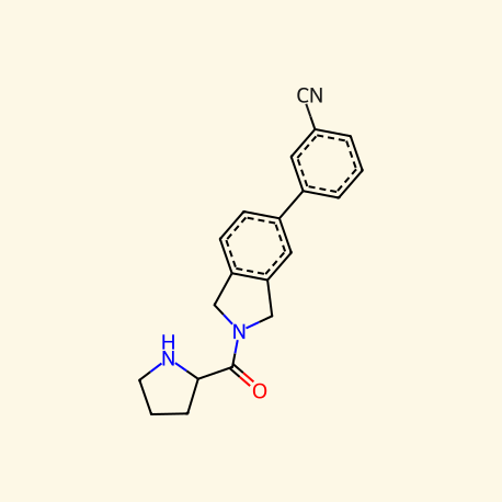 N#Cc1cccc(-c2ccc3c(c2)CN(C(=O)C2CCCN2)C3)c1